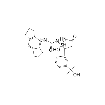 CC(C)(O)c1cccc(C2CC(=O)N[SH]2(O)=NC(=O)Nc2c3c(cc4c2CCC4)CCC3)c1